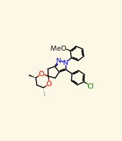 COc1ccccc1-n1nc2c(c1-c1ccc(Cl)cc1)CC1(C2)O[C@H](C)C[C@@H](C)O1